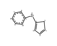 C1=CC[C]([Zr][c]2ccccc2)=C1